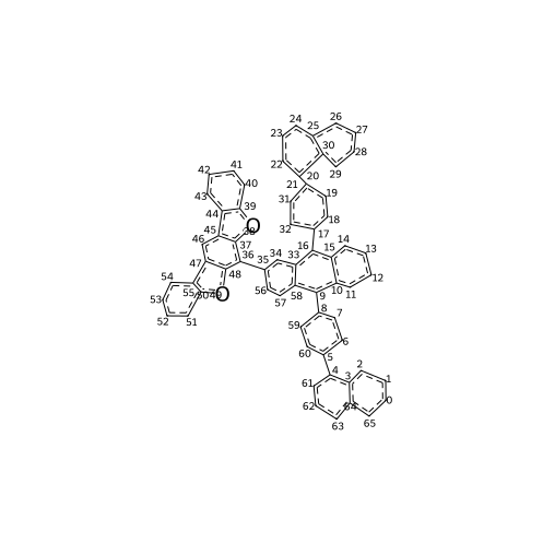 c1ccc2c(-c3ccc(-c4c5ccccc5c(-c5ccc(-c6cccc7ccccc67)cc5)c5cc(-c6c7oc8ccccc8c7cc7c6oc6ccccc67)ccc45)cc3)cccc2c1